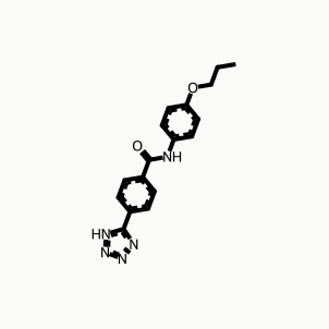 CCCOc1ccc(NC(=O)c2ccc(-c3nnn[nH]3)cc2)cc1